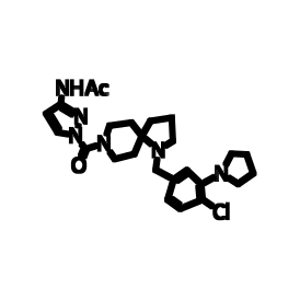 CC(=O)Nc1ccn(C(=O)N2CCC3(CCCN3Cc3ccc(Cl)c(N4CCCC4)c3)CC2)n1